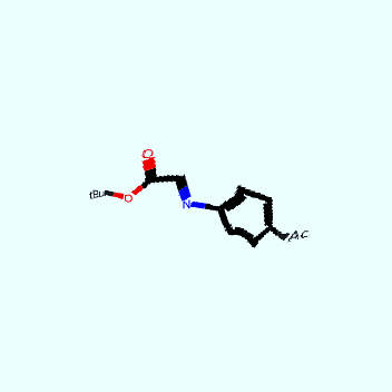 CC(=O)c1ccc(N=CC(=O)OC(C)(C)C)cc1